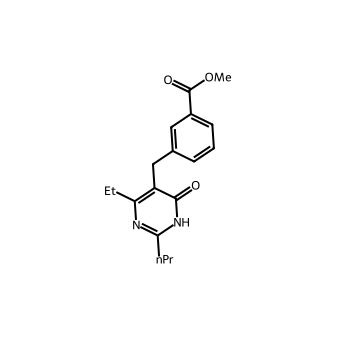 CCCc1nc(CC)c(Cc2cccc(C(=O)OC)c2)c(=O)[nH]1